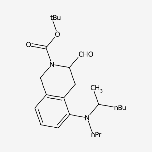 CCCCC(C)N(CCC)c1cccc2c1CC(C=O)N(C(=O)OC(C)(C)C)C2